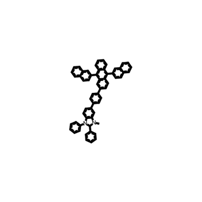 CN1c2cc(-c3ccc(-c4ccc5c(-c6ccc7ccccc7c6)c6ccccc6c(-c6ccc7ccccc7c6)c5c4)cc3)ccc2N(c2ccccc2)C1c1ccccc1